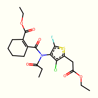 CCOC(=O)Cc1sc(F)c(N(C(=O)CC)C(=O)C2=C(C(=O)OCC)CCCC2)c1Cl